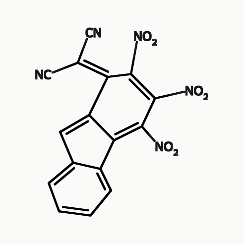 N#CC(C#N)=c1c([N+](=O)[O-])c([N+](=O)[O-])c([N+](=O)[O-])c2c1=Cc1ccccc1-2